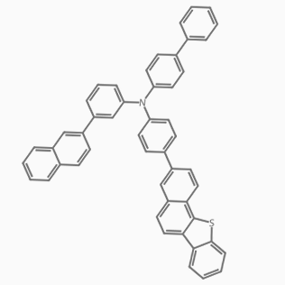 c1ccc(-c2ccc(N(c3ccc(-c4ccc5c(ccc6c7ccccc7sc56)c4)cc3)c3cccc(-c4ccc5ccccc5c4)c3)cc2)cc1